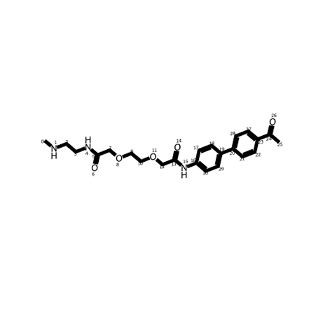 CNCCNC(=O)COCCOCC(=O)Nc1ccc(-c2ccc(C(C)=O)cc2)cc1